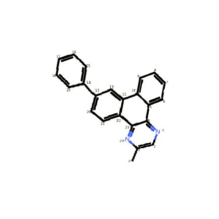 Cc1cnc2c3ccccc3c3cc(-c4ccccc4)ccc3c2n1